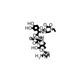 CCN1CCN(C(=O)NC(C(=O)N[C@]2(NC=O)C(=O)N3C(C(=O)O)=C(CSc4nnnn4N)CS[C@H]32)c2ccc(O)c(O)c2)C(=O)C1=O